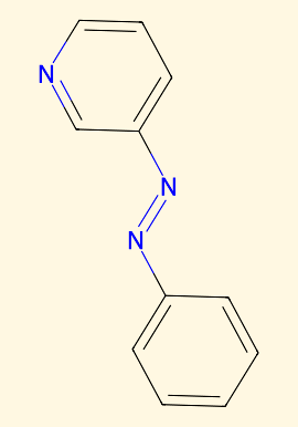 c1ccc(/N=N/c2cccnc2)cc1